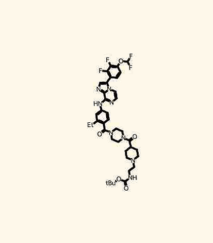 CCc1cc(Nc2nccn3c(-c4ccc(OC(F)F)c(F)c4F)cnc23)ccc1C(=O)N1CCN(C(=O)C2CCN(CCNC(=O)OC(C)(C)C)CC2)CC1